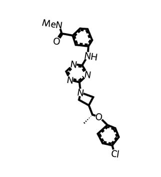 CNC(=O)c1cccc(Nc2ncnc(N3CC([C@@H](C)Oc4ccc(Cl)cc4)C3)n2)c1